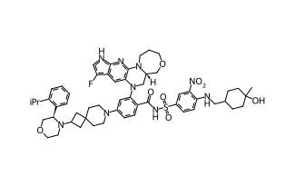 CC(C)c1ccccc1[C@@H]1COCCN1C1CC2(CCN(c3ccc(C(=O)NS(=O)(=O)c4ccc(NCC5CCC(C)(O)CC5)c([N+](=O)[O-])c4)c(N4C[C@H]5COCCCN5c5nc6[nH]cc(F)c6cc54)c3)CC2)C1